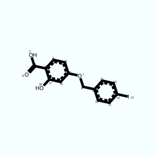 O=C(O)c1ccc(OCc2ccc(I)cc2)cc1O